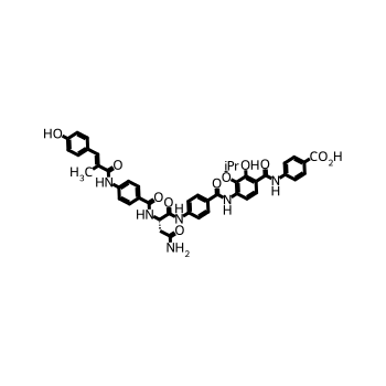 C/C(=C\c1ccc(O)cc1)C(=O)Nc1ccc(C(=O)N[C@@H](CC(N)=O)C(=O)Nc2ccc(C(=O)Nc3ccc(C(=O)Nc4ccc(C(=O)O)cc4)c(O)c3OC(C)C)cc2)cc1